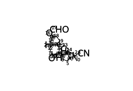 C[C@H](CC#N)[C@H]1CC[C@H]2[C@@H]3C4OC4C[C@@H]4C[C@H](OC=O)CC[C@]4(C)C3CC[C@]12C